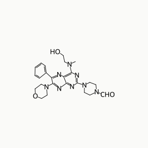 CN(CCO)c1nc(N2CCN(C=O)CC2)nc2nc(N3CCOCC3)c(-c3ccccc3)nc12